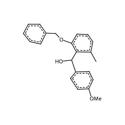 COc1ccc(C(O)c2c(C)cccc2OCc2ccccc2)cc1